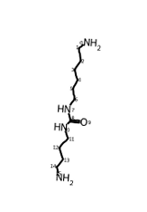 NCCCCCCNC(=O)NCCCCN